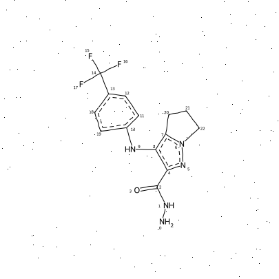 NNC(=O)c1nn2c(c1Nc1ccc(C(F)(F)F)cc1)CCC2